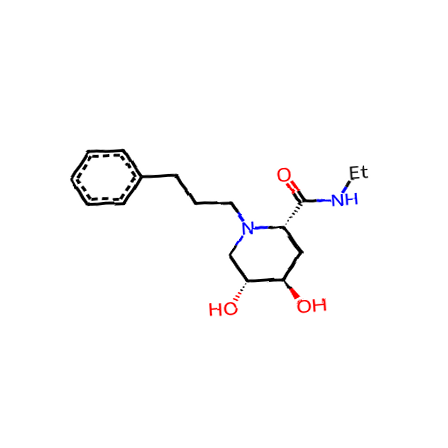 CCNC(=O)[C@@H]1C[C@@H](O)[C@H](O)CN1CCCc1ccccc1